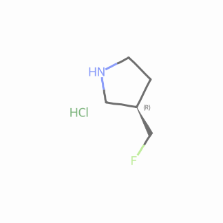 Cl.FC[C@@H]1CCNC1